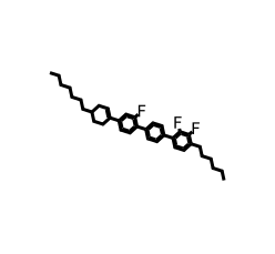 CCCCCCCC1CC=C(c2ccc(-c3ccc(-c4ccc(CCCCCC)c(F)c4F)cc3)c(F)c2)CC1